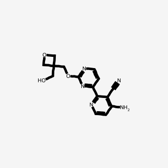 N#Cc1c(N)ccnc1-c1ccnc(OCC2(CO)COC2)n1